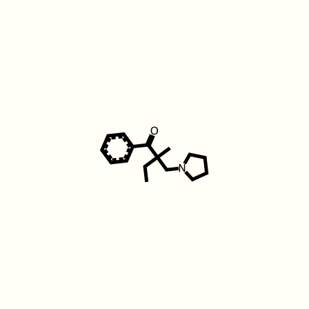 CCC(C)(CN1CCCC1)C(=O)c1ccccc1